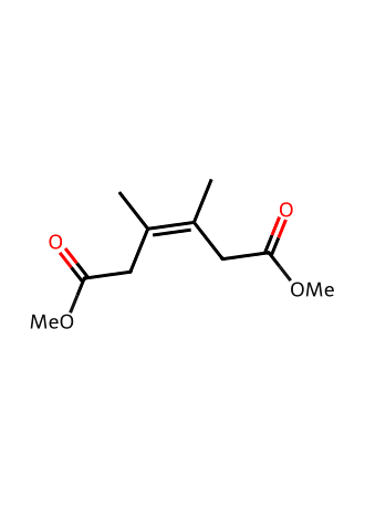 COC(=O)C/C(C)=C(/C)CC(=O)OC